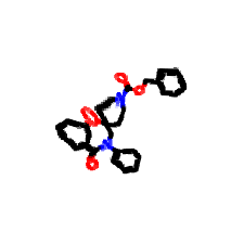 O=C(OCc1ccccc1)N1CCC2(CC1)CN(c1ccccc1)C(=O)c1ccccc1O2